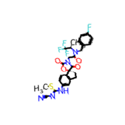 CS/C(=N\C#N)Nc1ccc2c(c1)CC[C@@]21OC(=O)N(CC(=O)N(Cc2ccc(F)cc2)[C@@H](C)C(F)(F)F)C1=O